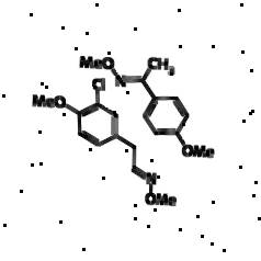 CON=C(C)c1ccc(OC)cc1.CON=CCc1ccc(OC)c(Cl)c1